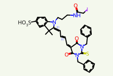 CC1(C)/C(=C\C=C\C=C2C(=O)N(Cc3ccccc3)C(=S)N(Cc3ccccc3)C2=O)N(CCCNC(=O)CI)c2ccc(S(=O)(=O)O)cc21